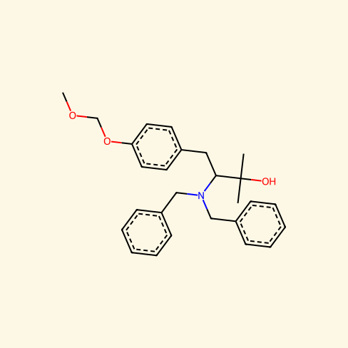 COCOc1ccc(CC(N(Cc2ccccc2)Cc2ccccc2)C(C)(C)O)cc1